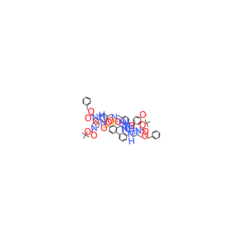 COc1ccc(CN(Cc2ccc(OC)cc2)S(=O)(=O)c2c(S(=O)(=O)N[C@@H]3CN(C(=O)OC(C)(C)C)C[C@H]3NC(=O)OCc3ccccc3)ccc(-c3cccc(NC[C@H](COCc4ccccc4)NC(=O)OC(C)(C)C)c3N)c2-c2nnn(Cc3ccc(OC)cc3)n2)cc1